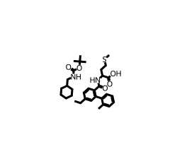 CC(C)(C)OC(=O)NCC1CCCCC1.CCc1ccc(C(=O)NC(CCSC)C(=O)O)c(-c2ccccc2C)c1